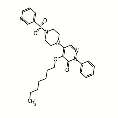 CCCCCCCOc1c(N2CCN(S(=O)(=O)c3cccnc3)CC2)cnn(-c2ccccc2)c1=O